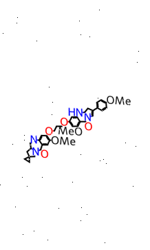 COc1ccc(C2=CN3C(=O)c4cc(OC)c(OCCCOc5cc6c(cc5OC)C(=O)N5CC7(CC7)CC5C=N6)cc4NC3C2)cc1